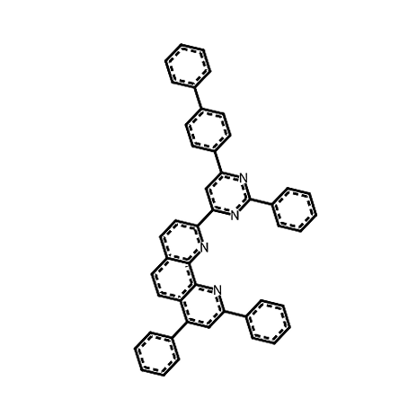 c1ccc(-c2ccc(-c3cc(-c4ccc5ccc6c(-c7ccccc7)cc(-c7ccccc7)nc6c5n4)nc(-c4ccccc4)n3)cc2)cc1